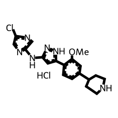 COc1cc(C2CCNCC2)ccc1-c1cc(Nc2cnc(Cl)cn2)n[nH]1.Cl